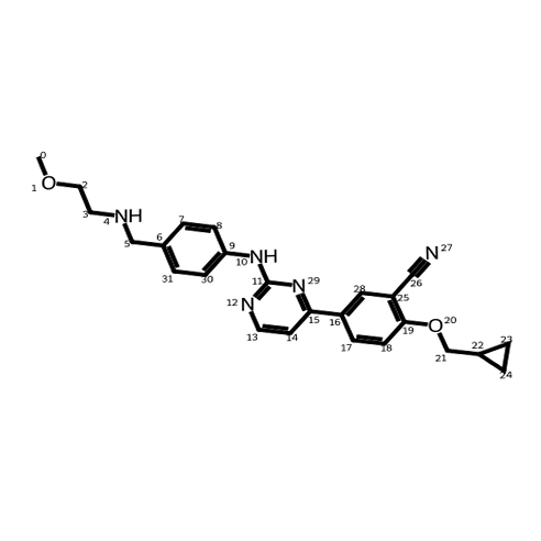 COCCNCc1ccc(Nc2nccc(-c3ccc(OCC4CC4)c(C#N)c3)n2)cc1